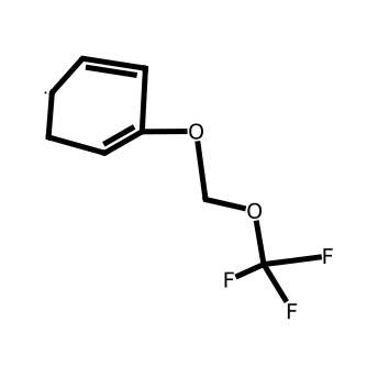 FC(F)(F)OCOC1=CC[CH]C=C1